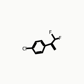 C=C(c1ccc(Cl)cc1)C(F)F